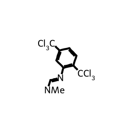 CNC=Nc1cc(C(Cl)(Cl)Cl)ccc1C(Cl)(Cl)Cl